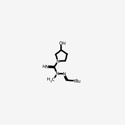 CN(/N=C/C(C)(C)C)C(=N)N1CCC(O)C1